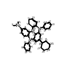 CN(C)c1ccc2c(c1)B1C3=C(C=CCC3)N(c3ccccc3)c3cc(C4CCCCC4)cc(c31)N2c1ccccc1